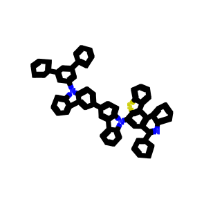 c1ccc(-c2cc(-c3ccccc3)cc(-n3c4ccccc4c4cc(-c5ccc6c(c5)c5ccccc5n6-c5cc6c(-c7ccccc7)nc7ccccc7c6c6c5sc5ccccc56)ccc43)c2)cc1